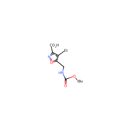 CCc1c(C(=O)O)noc1CNC(=O)OC(C)(C)C